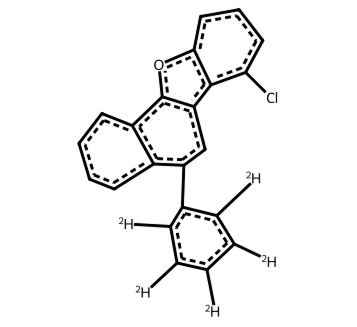 [2H]c1c([2H])c([2H])c(-c2cc3c(oc4cccc(Cl)c43)c3ccccc23)c([2H])c1[2H]